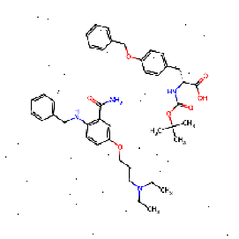 CC(C)(C)OC(=O)N[C@H](Cc1ccc(OCc2ccccc2)cc1)C(=O)O.CCN(CC)CCCOc1ccc(NCc2ccccc2)c(C(N)=O)c1